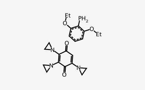 CCOc1cccc(OCC)c1P.O=C1C=C(N2CC2)C(=O)C(N2CC2)=C1N1CC1